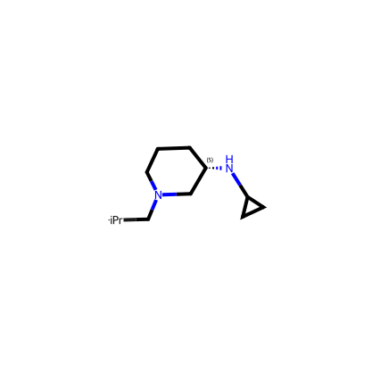 C[C](C)CN1CCC[C@H](NC2CC2)C1